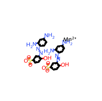 Nc1ccc(N=Nc2cc(S(=O)(=O)[O-])ccc2O)c(N)c1.Nc1ccc(N=Nc2cc(S(=O)(=O)[O-])ccc2O)c(N)c1.[Mn+2]